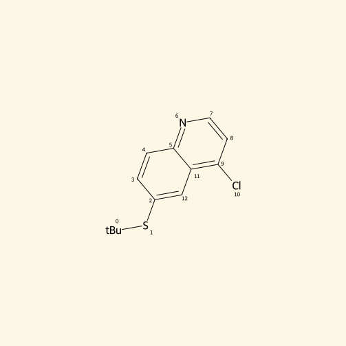 CC(C)(C)Sc1ccc2nccc(Cl)c2c1